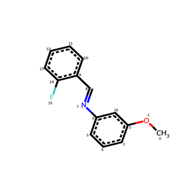 COc1cccc(N=Cc2ccccc2F)c1